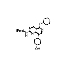 CCCC(C)Nc1ncc2c(OC3CCOCC3)ncc([C@H]3CC[C@H](O)CC3)c2n1